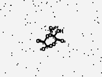 O=C([O-])C(=O)O.O=C([O-])C(=O)[O-].[Cu+2].[K+]